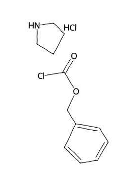 C1CCNC1.Cl.O=C(Cl)OCc1ccccc1